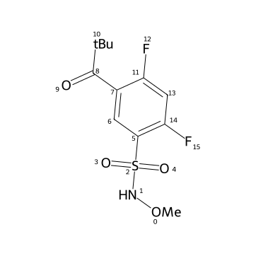 CONS(=O)(=O)c1cc(C(=O)C(C)(C)C)c(F)cc1F